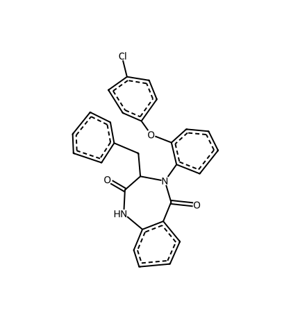 O=C1Nc2ccccc2C(=O)N(c2ccccc2Oc2ccc(Cl)cc2)C1Cc1ccccc1